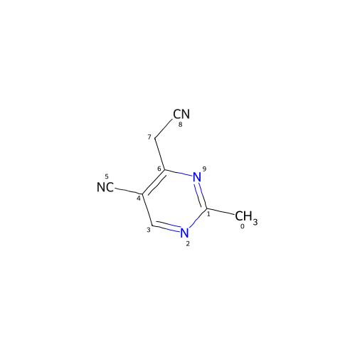 Cc1ncc(C#N)c(CC#N)n1